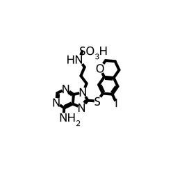 Nc1ncnc2c1nc(Sc1cc3c(cc1I)CCCO3)n2CCCNS(=O)(=O)O